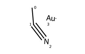 CC#N.[Au]